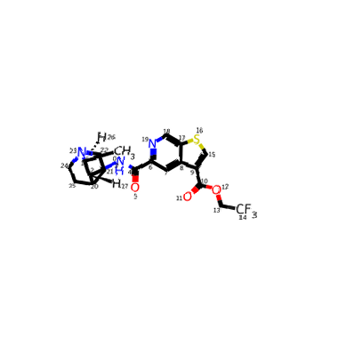 C[C@H]1[C@H](NC(=O)c2cc3c(C(=O)OCC(F)(F)F)csc3cn2)C2CCN1CC2